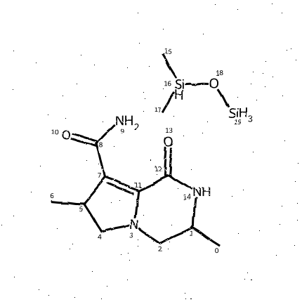 CC1CN2CC(C)C(C(N)=O)=C2C(=O)N1.C[SiH](C)O[SiH3]